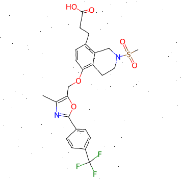 Cc1nc(-c2ccc(C(F)(F)F)cc2)oc1COc1ccc(CCC(=O)O)c2c1CCN(S(C)(=O)=O)C2